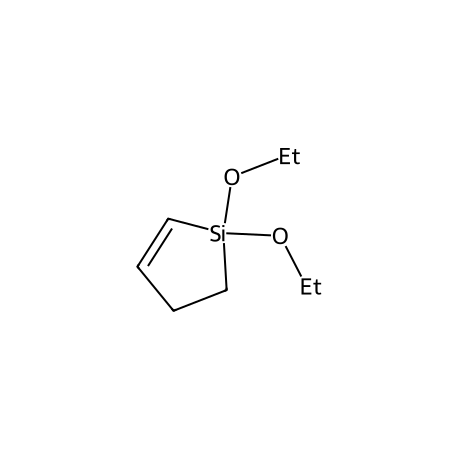 CCO[Si]1(OCC)C=CCC1